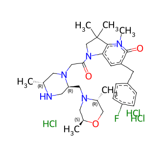 C[C@@H]1CN(CC(=O)N2CC(C)(C)c3c2cc(Cc2ccc(F)cc2)c(=O)n3C)[C@@H](CN2C[C@H](C)OC[C@H]2C)CN1.Cl.Cl.Cl